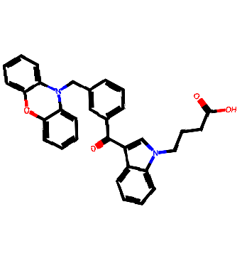 O=C(O)CCCn1cc(C(=O)c2cccc(CN3c4ccccc4Oc4ccccc43)c2)c2ccccc21